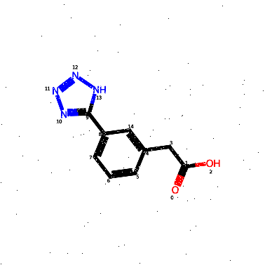 O=C(O)Cc1cccc(-c2nnn[nH]2)c1